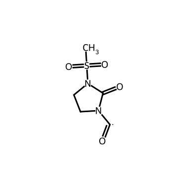 CS(=O)(=O)N1CCN([C]=O)C1=O